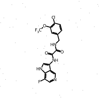 O=C(NCc1ccc(Cl)c(OC(F)(F)F)c1)C(=O)Nc1c[nH]c2c(F)cncc12